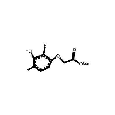 COC(=O)COc1ccc(C)c(O)c1F